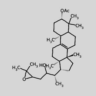 CC(=O)O[C@H]1CC[C@]2(C)C3=C(CCC2C1(C)C)[C@]1(C)CC[C@H]([C@H](C)C(O)CC2OC2(C)C)[C@@]1(C)CC3